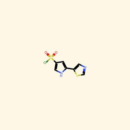 O=S(=O)(Cl)c1c[nH]c(-c2cncs2)c1